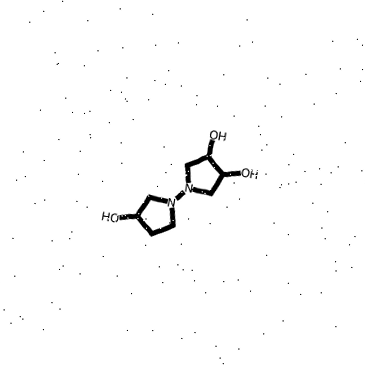 OC1CCN(N2CC(O)C(O)C2)C1